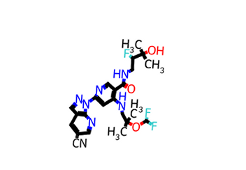 CC(C)(CNc1cc(-n2ncc3cc(C#N)cnc32)ncc1C(=O)NCC(F)C(C)(C)O)OC(F)F